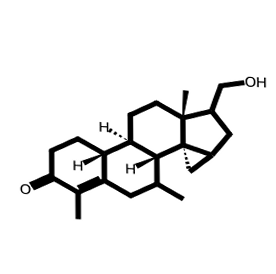 CC1=C2CC(C)[C@@H]3[C@H](CC[C@]4(C)C(CO)CC5C[C@]534)[C@H]2CCC1=O